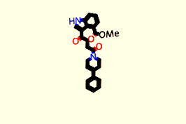 COC(=O)c1cccc2[nH]cc(C(=O)CCC(=O)N3CC=C(c4ccccc4)CC3)c12